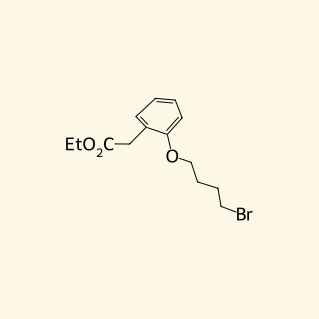 CCOC(=O)Cc1ccccc1OCCCCBr